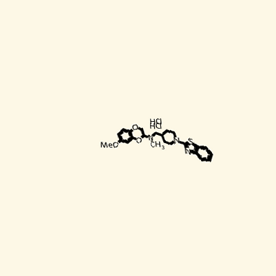 COc1ccc2c(c1)OC(N(C)CC1CCN(c3nc4ccccc4s3)CC1)CO2.Cl.Cl